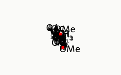 COC(=O)c1c(CCCOC(C)=O)c2ccc(Cl)c(-c3c(C)nn(Cc4ccc(OC)cc4)c3CCl)c2n1C